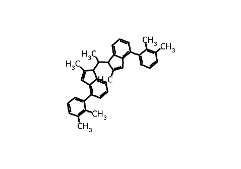 CC1=Cc2c(-c3cccc(C)c3C)cccc2C1C(C)C1C(C)=Cc2c(-c3cccc(C)c3C)cccc21